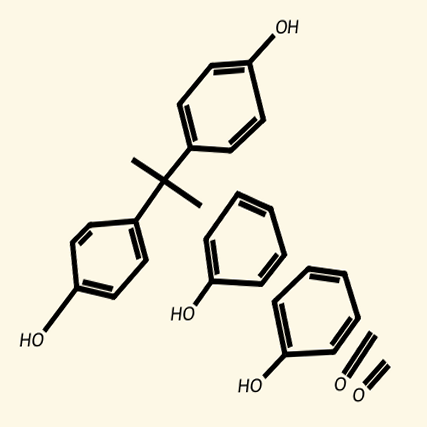 C=O.C=O.CC(C)(c1ccc(O)cc1)c1ccc(O)cc1.Oc1ccccc1.Oc1ccccc1